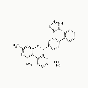 Cc1cc(OCc2ccc(-c3ccccc3-c3nnn[nH]3)cc2)c(-c2ccccn2)c(C)n1.Cl.Cl